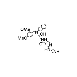 COc1ccc(CN(CC(O)CNC(=O)c2ccnc(NC3CNC3)c2)C2Cc3ccccc3C2)c(OC)c1